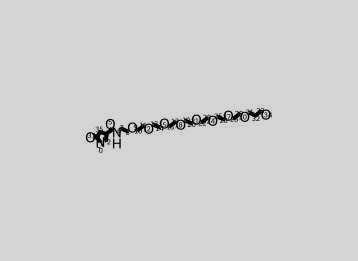 CN1CC(C(=O)NCCOCCOCCOCCOCCOCCOCCOCCOCCC=O)CC1=O